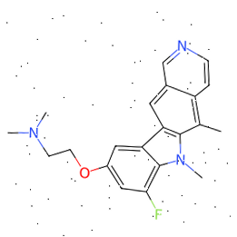 Cc1c2ccncc2cc2c3cc(OCCN(C)C)cc(F)c3n(C)c12